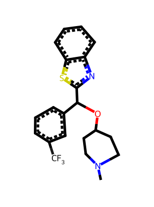 CN1CCC(OC(c2cccc(C(F)(F)F)c2)c2nc3ccccc3s2)CC1